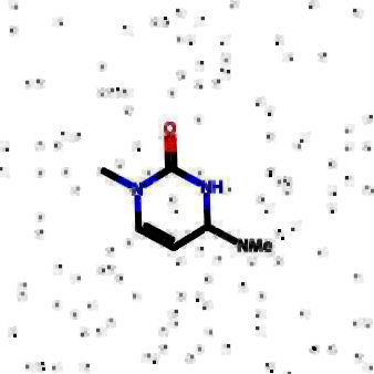 CNC1C=CN(C)C(=O)N1